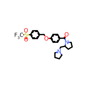 O=C(c1ccc(OCc2ccc(S(=O)(=O)C(F)(F)F)cc2)cc1)N1CCCC1CN1CCCC1